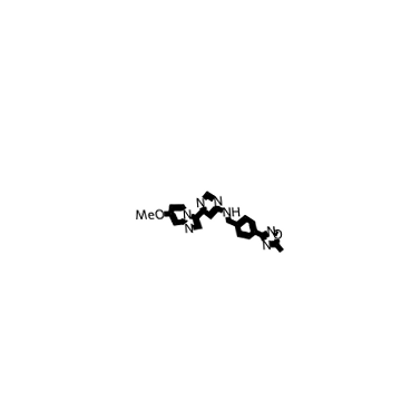 COc1ccn2c(-c3cc(NCc4ccc(-c5noc(C)n5)cc4)ncn3)cnc2c1